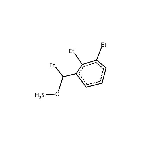 CCc1cccc(C(CC)O[SiH3])c1CC